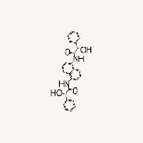 O=C(Nc1cccc2c(NC(=O)C(O)c3ccccc3)cccc12)C(O)c1ccccc1